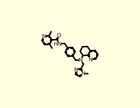 Cc1ccnc(C)c1C(=O)NCc1ccc(CN(Cc2nccn2C)C2CCCc3cccnc32)cc1